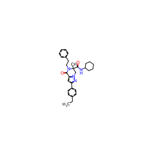 CCc1ccc(-c2cc3n(n2)CC(C)(C(=O)NC2CCCCC2)N(CCc2ccccc2)C3=O)cc1